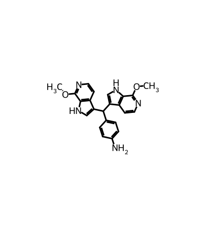 COc1nccc2c(C(c3ccc(N)cc3)c3c[nH]c4c(OC)nccc34)c[nH]c12